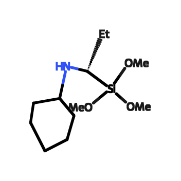 CC[C@@H](NC1CCCCC1)[Si](OC)(OC)OC